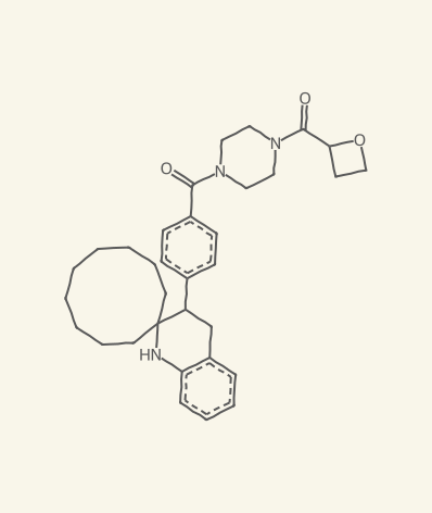 O=C(c1ccc(C2Cc3ccccc3NC23CCCCCCCCC3)cc1)N1CCN(C(=O)C2CCO2)CC1